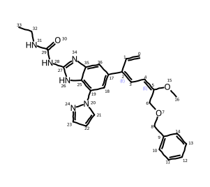 C=C/C(=C\C=C(/COCc1ccccc1)OC)c1cc(-n2cccn2)c2[nH]c(NC(=O)NCC)nc2c1